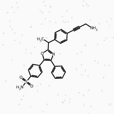 CC(c1ccc(C#CCN)cc1)c1nc(-c2ccccc2)c(-c2ccc(S(N)(=O)=O)cc2)o1